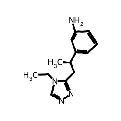 CCn1cnnc1C[C@@H](C)c1cccc(N)c1